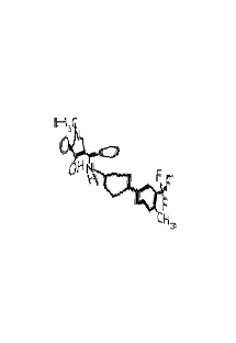 Cc1ccc(C2CCC(NC(=O)C3=C(O)C(=O)N(C)C3)CC2)cc1C(F)(F)F